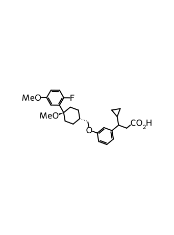 COc1ccc(F)c([C@]2(OC)CC[C@H](COc3cccc(C(CC(=O)O)C4CC4)c3)CC2)c1